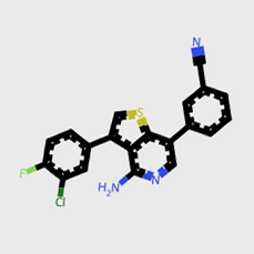 N#Cc1cccc(-c2cnc(N)c3c(-c4ccc(F)c(Cl)c4)csc23)c1